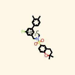 Cc1ccc(-c2cc(F)cc(CN(CC(=O)O)S(=O)(=O)c3ccc4c(c3)CCC(C)(C)O4)c2)cc1C